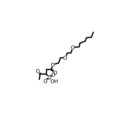 CCCCCCOCCOCCOC(=O)CC(C(C)=O)S(=O)(=O)O